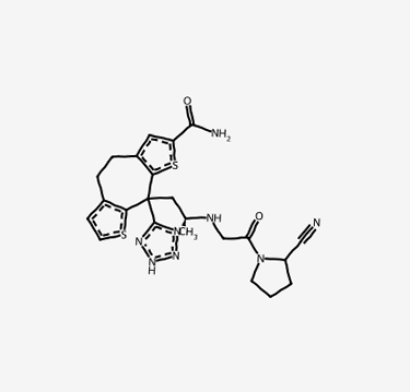 C[C@@H](CC1(c2nn[nH]n2)c2sccc2CCc2cc(C(N)=O)sc21)NCC(=O)N1CCCC1C#N